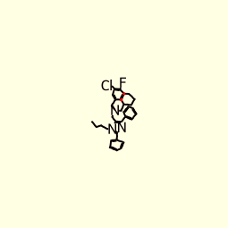 CCCCn1c(-c2ccccc2)nc(-c2ccccc2)c1CN(Cc1ccc(F)c(Cl)c1)CC1CCCCC1